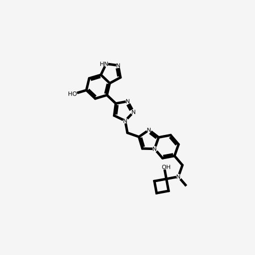 CN(Cc1ccc2nc(Cn3cc(-c4cc(O)cc5[nH]ncc45)nn3)cn2c1)C1(O)CCC1